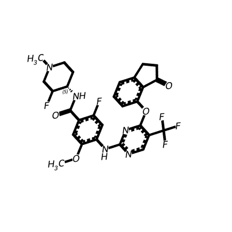 COc1cc(C(=O)N[C@H]2CCN(C)CC2F)c(F)cc1Nc1ncc(C(F)(F)F)c(Oc2cccc3c2C(=O)CC3)n1